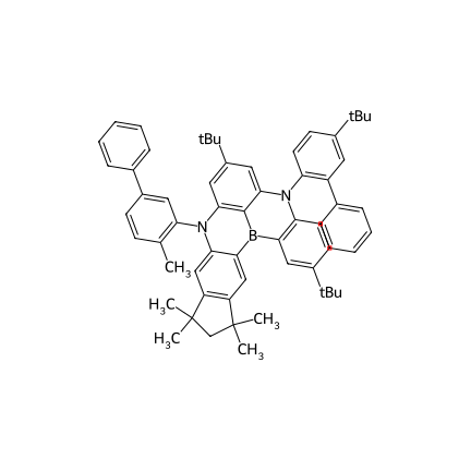 Cc1ccc(-c2ccccc2)cc1N1c2cc3c(cc2B2c4cc(C(C)(C)C)ccc4N(c4ccc(C(C)(C)C)cc4-c4ccccc4)c4cc(C(C)(C)C)cc1c42)C(C)(C)CC3(C)C